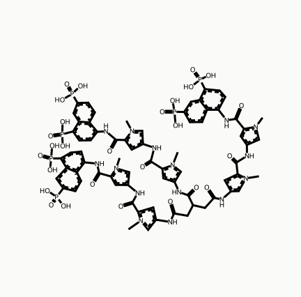 Cn1cc(NC(=O)CC(CC(=O)Nc2cc(C(=O)Nc3cc(C(=O)Nc4ccc(P(=O)(O)O)c5cc(P(=O)(O)O)ccc45)n(C)c3)n(C)c2)C(=O)Nc2cc(C(=O)Nc3cc(C(=O)Nc4ccc(P(=O)(O)O)c5cc(P(=O)(O)O)ccc45)n(C)c3)n(C)c2)cc1C(=O)Nc1cc(C(=O)Nc2ccc(P(=O)(O)O)c3cc(P(=O)(O)O)ccc23)n(C)c1